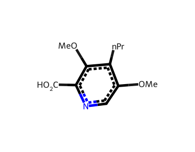 CCCc1c(OC)cnc(C(=O)O)c1OC